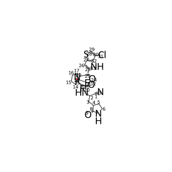 N#CC(CC1CCNC1=O)NC(=O)C1C2CCC(CC2(F)F)N1C(=O)c1cc2scc(Cl)c2[nH]1